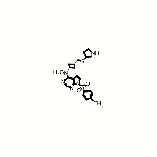 Cc1ccc(S(=O)(=O)n2ccc3c(N(C)[C@H]4C[C@@H](CSC5CCNC5)C4)ncnc32)cc1